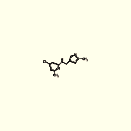 Cc1nc(Cl)cc(NCc2cnn(C)c2)n1